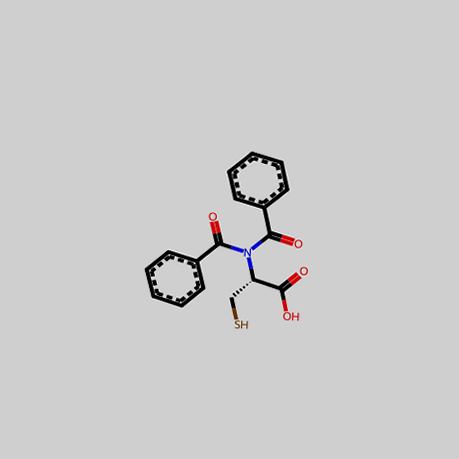 O=C(O)[C@H](CS)N(C(=O)c1ccccc1)C(=O)c1ccccc1